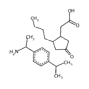 CC(C)c1ccc(C(C)N)cc1.CCCCC1CC(=O)CC1CC(=O)O